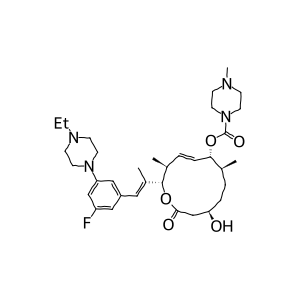 CCN1CCN(c2cc(F)cc(/C=C(\C)[C@H]3OC(=O)C[C@H](O)CC[C@H](C)[C@@H](OC(=O)N4CCN(C)CC4)/C=C/[C@@H]3C)c2)CC1